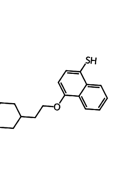 Sc1ccc(OCCC2CCCCC2)c2ccccc12